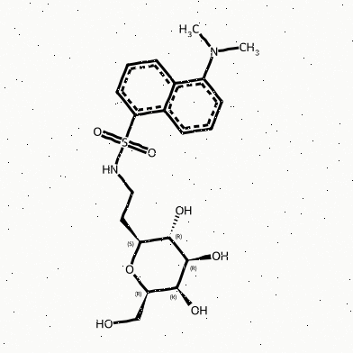 CN(C)c1cccc2c(S(=O)(=O)NCC[C@@H]3O[C@H](CO)[C@H](O)[C@H](O)[C@H]3O)cccc12